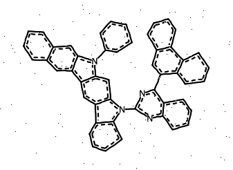 c1ccc(-n2c3cc4ccccc4cc3c3cc4c5ccccc5n(-c5nc(-c6cc7ccccc7c7ccccc67)c6ccccc6n5)c4cc32)cc1